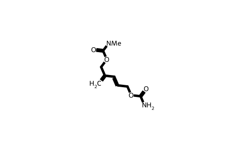 C=C(C=CCOC(N)=O)COC(=O)NC